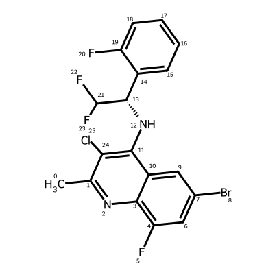 Cc1nc2c(F)cc(Br)cc2c(N[C@@H](c2ccccc2F)C(F)F)c1Cl